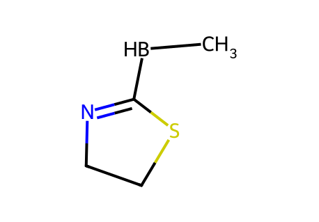 CBC1=NCCS1